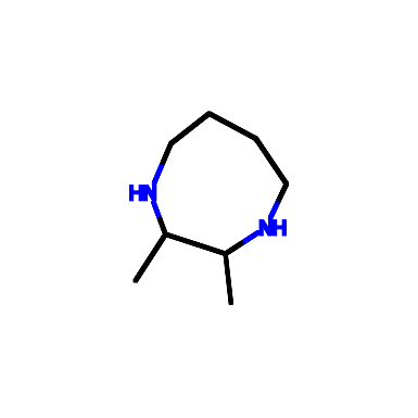 CC1NCCCCNC1C